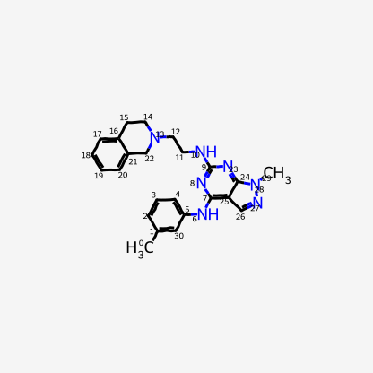 Cc1cccc(Nc2nc(NCCN3CCc4ccccc4C3)nc3c2cnn3C)c1